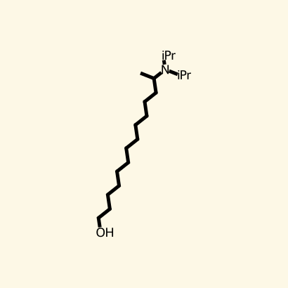 CC(C)N(C(C)C)C(C)CCCCCCCCCCCCO